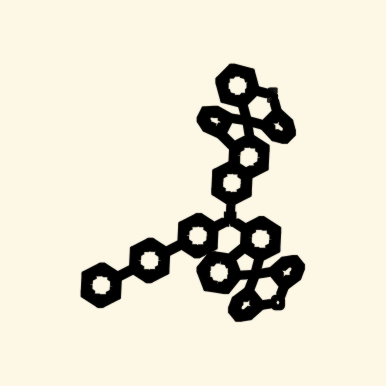 c1ccc(-c2ccc(-c3ccc(N(c4ccc5c6c(ccc5c4)C4(c5ccccc5Sc5ccccc54)c4ccccc4-6)c4cccc5c4-c4ccccc4C54c5ccccc5Oc5ccccc54)cc3)cc2)cc1